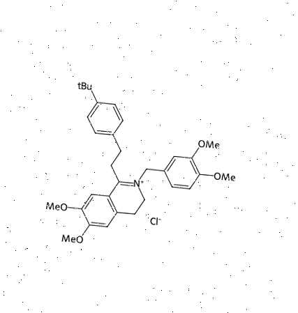 COc1ccc(C[N+]2=C(CCc3ccc(C(C)(C)C)cc3)c3cc(OC)c(OC)cc3CC2)cc1OC.[Cl-]